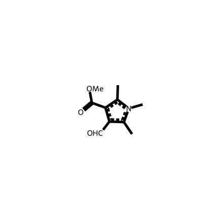 COC(=O)c1c(C=O)c(C)n(C)c1C